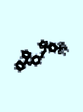 CC(C)(C)c1ccc(C2(CCCN3CCC(OC(c4ccccc4)c4ccccc4)CC3)OCCO2)cc1